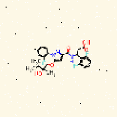 CC(C)C(C)(O)COc1cc(C(=O)NC(CC(=O)O)c2c(F)cccc2F)nn1-c1ccccc1F